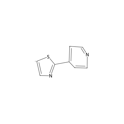 [c]1cnc(-c2ccncc2)s1